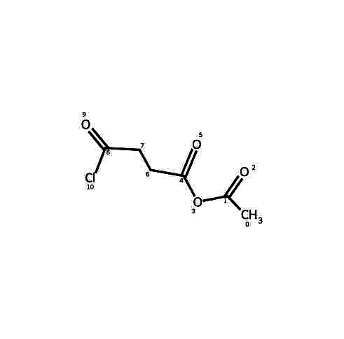 CC(=O)OC(=O)CCC(=O)Cl